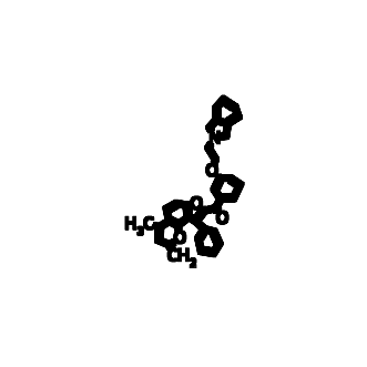 C=C1C=C(C)c2ccc3oc(C(=O)c4cccc(OCCN5Cc6ccccc6C5)c4)c(-c4ccccc4)c3c2O1